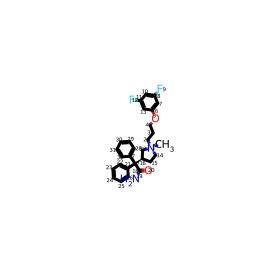 C[N@@+]1(CCCOc2cc(F)cc(F)c2)CC[C@@H](C(C(N)=O)(c2ccccc2)c2ccccc2)C1